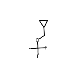 FC(F)(F)OCC1[CH]C1